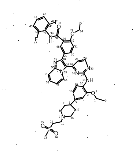 CCOc1cc(C2CCN(CCS(C)(=O)=O)CC2)ccc1Nc1nccc(-c2c(-c3ccc(OCC)c(C(=O)Nc4c(F)cccc4F)c3)nc3ccccn23)n1